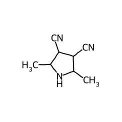 CC1NC(C)C(C#N)C1C#N